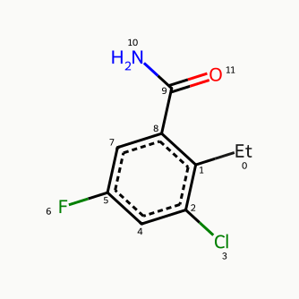 CCc1c(Cl)cc(F)cc1C(N)=O